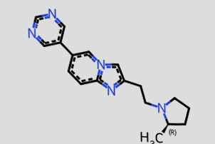 C[C@@H]1CCCN1CCc1cn2cc(-c3cncnc3)ccc2n1